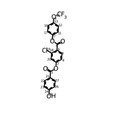 O=C(Oc1ccc(C(=O)Oc2ccc(OC(F)(F)F)cc2)c(Cl)c1)c1ccc(O)cc1